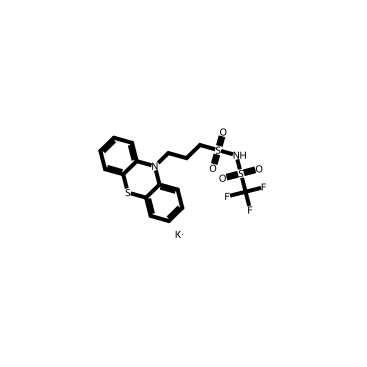 O=S(=O)(CCCN1c2ccccc2Sc2ccccc21)NS(=O)(=O)C(F)(F)F.[K]